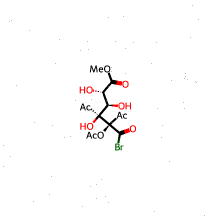 COC(=O)[C@@H](O)[C@@H](O)[C@@](O)(C(C)=O)[C@](OC(C)=O)(C(C)=O)C(=O)Br